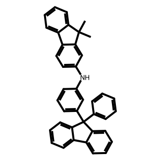 CC1(C)c2ccccc2-c2ccc(Nc3cccc(C4(c5ccccc5)c5ccccc5-c5ccccc54)c3)cc21